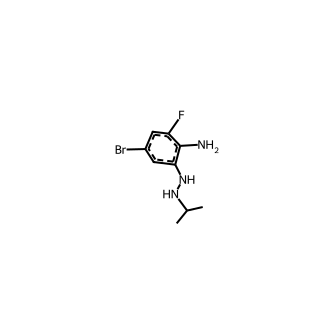 CC(C)NNc1cc(Br)cc(F)c1N